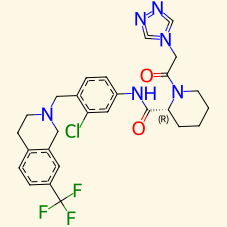 O=C(Nc1ccc(CN2CCc3ccc(C(F)(F)F)cc3C2)c(Cl)c1)[C@H]1CCCCN1C(=O)Cn1cnnc1